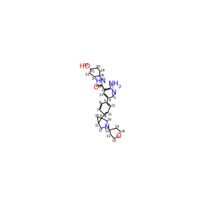 Nc1ncc(-c2ccc(C34CC3CN(C3CCOCC3)C4)cc2)cc1C(=O)NC1CCC(O)CC1